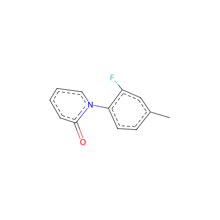 Cc1ccc(-n2ccccc2=O)c(F)c1